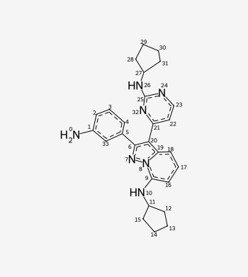 Nc1cccc(-c2nn3c(NC4CCCC4)cccc3c2-c2ccnc(NC3CCCC3)n2)c1